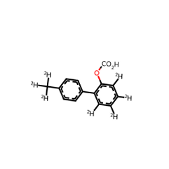 [2H]c1c([2H])c([2H])c(-c2ccc(C([2H])([2H])[2H])cc2)c(OC(=O)O)c1[2H]